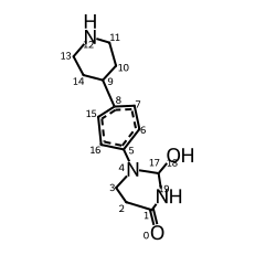 O=C1CCN(c2ccc(C3CCNCC3)cc2)C(O)N1